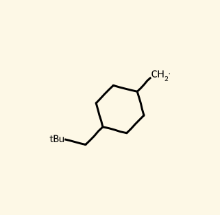 [CH2]C1CCC(CC(C)(C)C)CC1